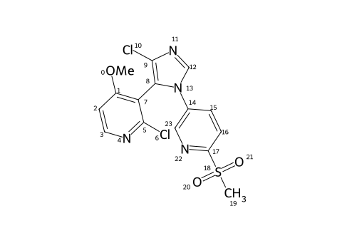 COc1ccnc(Cl)c1-c1c(Cl)ncn1-c1ccc(S(C)(=O)=O)nc1